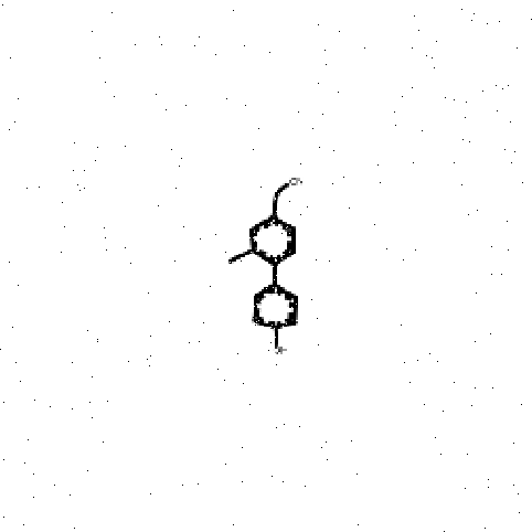 Cc1cc(CC#N)ccc1-c1ccc(O)cc1